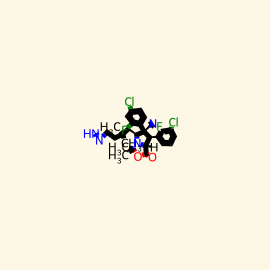 CC(C)(CCN=N)C[C@@H]1N2[C@@H](C(=O)OC2(C)C)[C@H](c2cccc(Cl)c2F)[C@@]1(C#N)c1ccc(Cl)cc1F